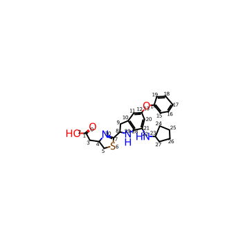 O=C(O)CC1CSC(C2Cc3cc(Oc4ccccc4)cc(NC4CCCC4)c3N2)=N1